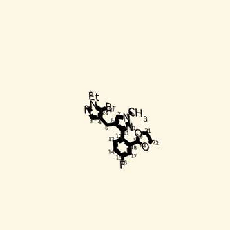 CCn1ncc(Cc2cn(C)nc2-c2ccc(F)cc2C2OCCO2)c1Br